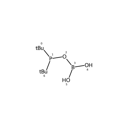 CC(C)(C)P(OB(O)O)C(C)(C)C